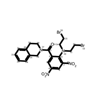 O=C(c1cc([N+](=O)[O-])cc([N+](=O)[O-])c1N(CCBr)CCBr)N1CCc2ccccc2C1